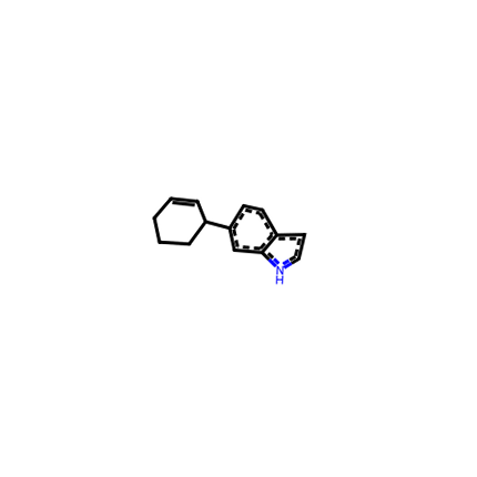 C1=CC(c2ccc3cc[nH]c3c2)CCC1